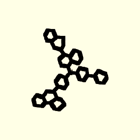 c1ccc(-c2ccc(N(c3ccc(-c4cc5ccccc5c5ccccc45)cc3)c3ccc(-c4ccc5ccccc5c4)c4ccccc34)cc2)cc1